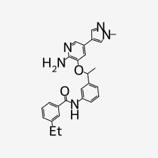 CCc1cccc(C(=O)Nc2cccc(C(C)Oc3cc(-c4cnn(C)c4)cnc3N)c2)c1